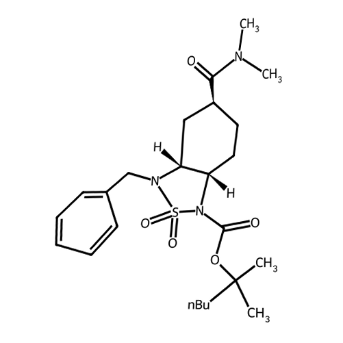 CCCCC(C)(C)OC(=O)N1[C@H]2CC[C@H](C(=O)N(C)C)C[C@H]2N(Cc2ccccc2)S1(=O)=O